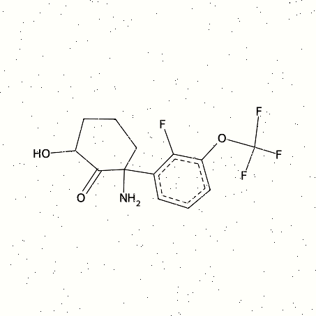 NC1(c2cccc(OC(F)(F)F)c2F)CCCC(O)C1=O